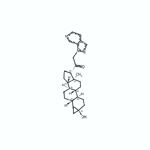 C[C@]12CC[C@@H]3[C@H]4CC[C@]5(O)CC5[C@@H]4CC[C@H]3[C@@H]1CC[C@@H]2C(=O)Cn1ncc2ccncc21